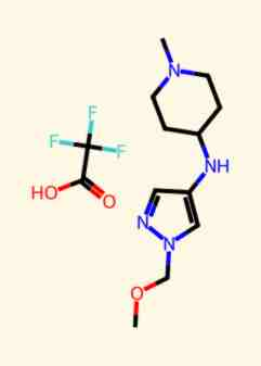 COCn1cc(NC2CCN(C)CC2)cn1.O=C(O)C(F)(F)F